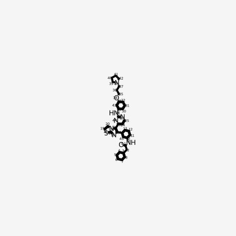 O=C(Cc1ccccc1)Nc1cccc(-c2nc3sccn3c2-c2ccnc(Nc3cccc(OCCCN4CCCC4)c3)n2)c1